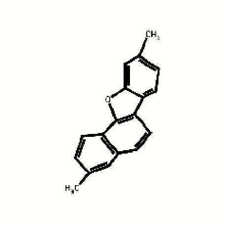 Cc1ccc2c(ccc3c4ccc(C)cc4oc23)c1